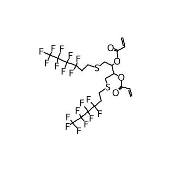 C=CC(=O)OC(CSCCC(F)(F)C(F)(F)C(F)(F)C(F)(F)F)C(CSCCC(F)(F)C(F)(F)C(F)(F)C(F)(F)F)OC(=O)C=C